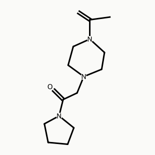 C=C(C)N1CCN(CC(=O)N2CCCC2)CC1